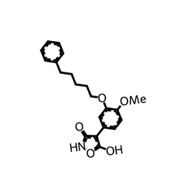 COc1ccc(-c2c(O)o[nH]c2=O)cc1OCCCCCc1ccccc1